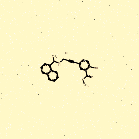 COC(=O)c1cc(C#CCNC(C)c2cccc3ccccc23)ccc1O.Cl